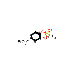 CCOC(=O)[C@@H]1CC=C(OS(=O)(=O)C(F)(F)F)CC1